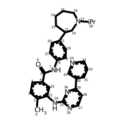 Cc1ccc(C(=O)Nc2ccc(C3CCCCN(C(C)C)C3)cc2)cc1Nc1nccc(-c2cccnc2)n1